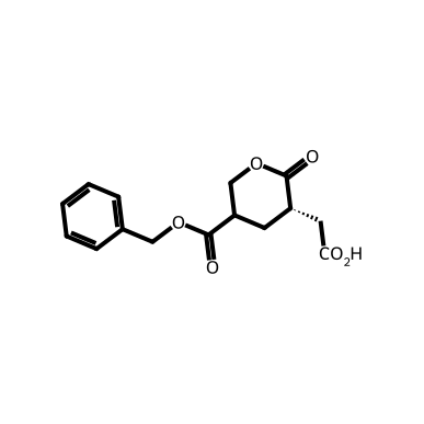 O=C(O)C[C@@H]1CC(C(=O)OCc2ccccc2)COC1=O